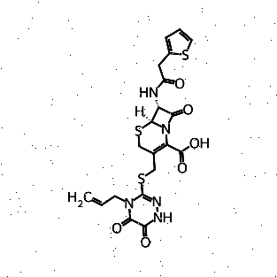 C=CCn1c(SCC2=C(C(=O)O)N3C(=O)[C@@H](NC(=O)Cc4cccs4)[C@@H]3SC2)n[nH]c(=O)c1=O